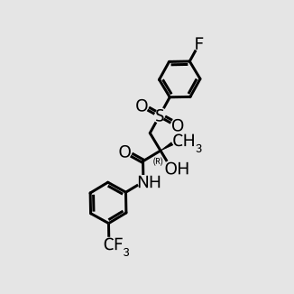 C[C@](O)(CS(=O)(=O)c1ccc(F)cc1)C(=O)Nc1cccc(C(F)(F)F)c1